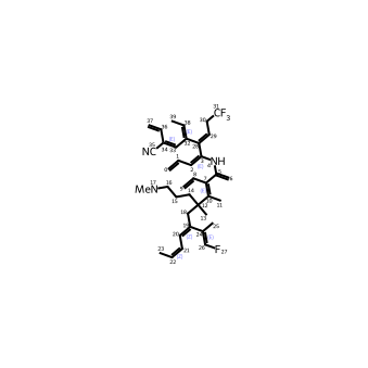 C=C/C=C(/NC(=C)/C(C=C)=C(\C)C(C)(CCCNC)CC(=C/C=C\C)/C(C)=C/F)C(=CCC(F)(F)F)C(/C=C(/C#N)C=C)=C/C